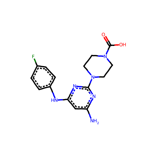 Nc1cc(Nc2ccc(F)cc2)nc(N2CCN(C(=O)O)CC2)n1